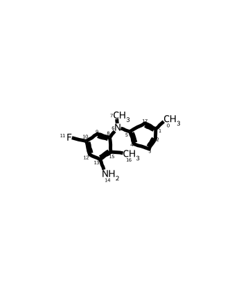 Cc1cccc(N(C)c2cc(F)cc(N)c2C)c1